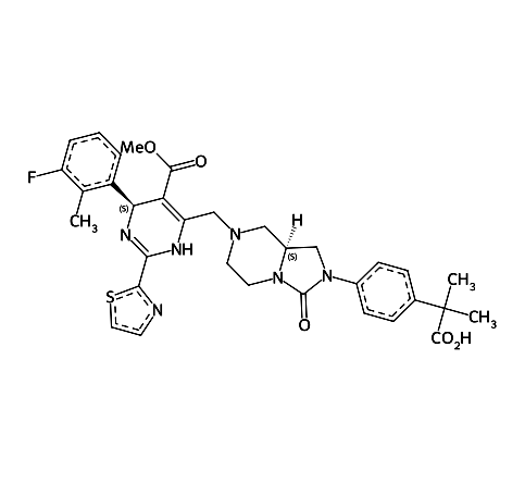 COC(=O)C1=C(CN2CCN3C(=O)N(c4ccc(C(C)(C)C(=O)O)cc4)C[C@@H]3C2)NC(c2nccs2)=N[C@H]1c1cccc(F)c1C